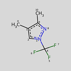 Cc1cn(C(F)(F)F)nc1C